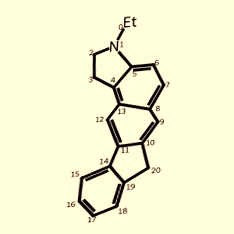 CCN1CCc2c1ccc1cc3c(cc21)-c1ccccc1C3